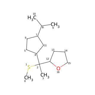 CSC(C)(C1CCC(C(C)C)C1)C1CCCO1